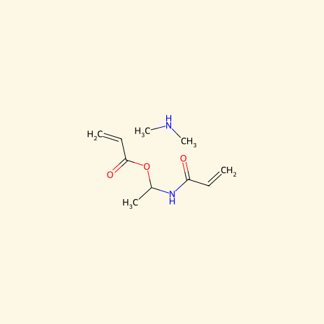 C=CC(=O)NC(C)OC(=O)C=C.CNC